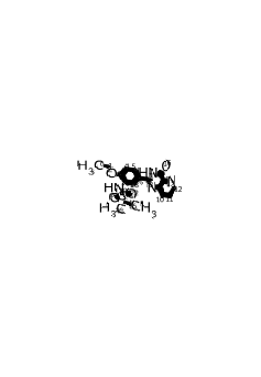 CCOc1ccc(-c2nc3cccnc3c(=O)[nH]2)cc1NS(=O)(=O)C(C)C